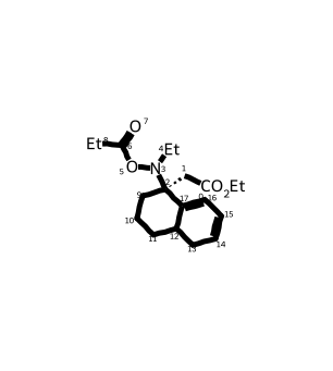 CCOC(=O)C[C@@]1(N(CC)OC(=O)CC)CCCC2CC=CC=C21